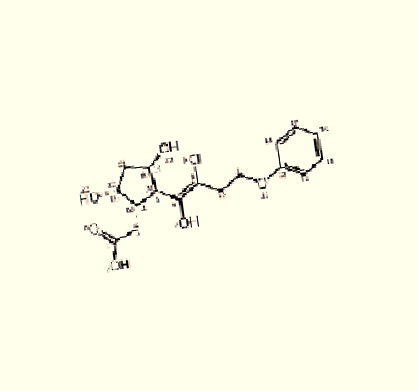 O=C(O)C[C@H]1[C@H](C(O)=C(Cl)CCOc2ccccc2)[C@H](O)C[C@H]1O